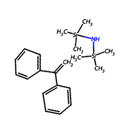 C=C(c1ccccc1)c1ccccc1.C[Si](C)(C)N[Si](C)(C)C